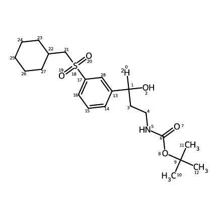 [2H]C(O)(CCNC(=O)OC(C)(C)C)c1cccc(S(=O)(=O)CC2CCCCC2)c1